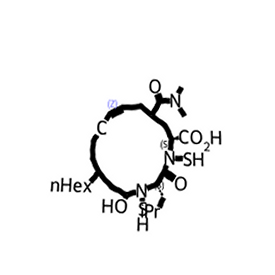 CCCCCCC1CCC/C=C\CC(C(=O)N(C)C)C[C@@H](C(=O)O)N(S)C(=O)[C@H](CC(C)C)N(S)C(O)C1